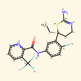 CC[C@@]1(c2cc(NC(=O)c3ncccc3C(F)(F)F)ccc2F)CCN=C(N)S1